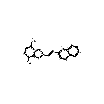 COc1ccc(C)n2nc(/C=C/c3ccc4ccccc4n3)nc12